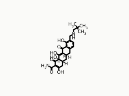 CC(C)(C)CNCc1ccc2c(c1O)C(=O)C1=C(O)[C@]3(O)C(=O)C(C(N)=O)=C(O)C[C@@H]3C[C@@H]1C2